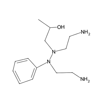 CC(O)CN(CCN)N(CCN)c1ccccc1